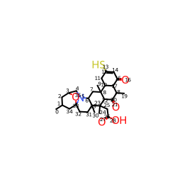 CC1CC2CN3C4CC5(C)C6CC(S)=CC(=O)C6C(C)C(=O)C5C(C)(CC(=O)O)C4(C)CCC3(C1)O2